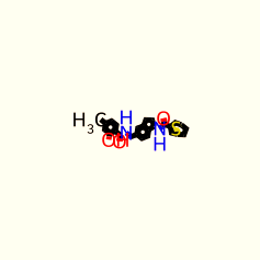 Cc1ccc(C(=O)NCc2ccc3c(c2)CCC3NC(=O)C2CC3CCC(C2)S3)c(O)c1